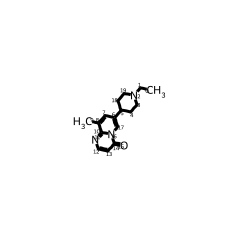 CCN1CCC(c2cc(C)c3nccc(=O)n3c2)CC1